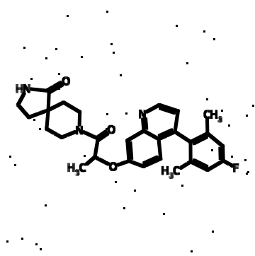 Cc1cc(F)cc(C)c1-c1ccnc2cc(OC(C)C(=O)N3CCC4(CCNC4=O)CC3)ccc12